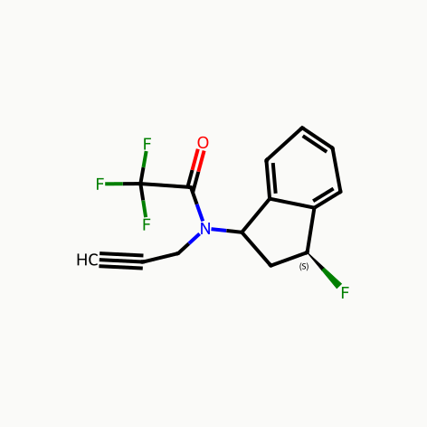 C#CCN(C(=O)C(F)(F)F)C1C[C@H](F)c2ccccc21